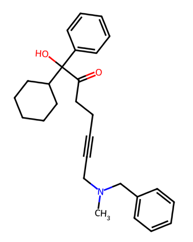 CN(CC#CCCC(=O)C(O)(c1ccccc1)C1CCCCC1)Cc1ccccc1